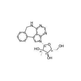 C[C@@]1(O)[C@H](O)[C@@H](CO)O[C@H]1n1cc2c3c(ncnc31)NCc1ccccc1-2